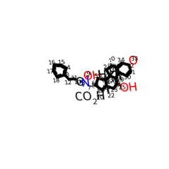 C[C@H]1C[C@H]2[C@@H]3C[C@@H](CN(O)CCCc4ccccc4)[C@H](C(=O)O)[C@@]3(C)C[C@H](O)[C@]2(C)[C@@]2(C)C=CC(=O)C=C12